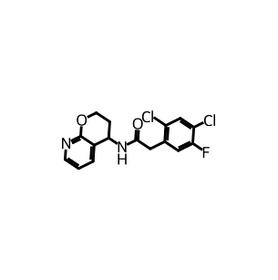 O=C(Cc1cc(F)c(Cl)cc1Cl)NC1CCOc2ncccc21